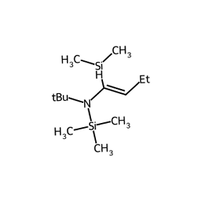 CCC=C(N(C(C)(C)C)[Si](C)(C)C)[SiH](C)C